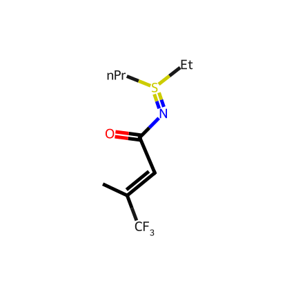 CCC/S(CC)=N\C(=O)/C=C(\C)C(F)(F)F